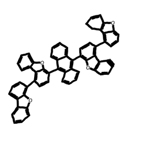 c1ccc2oc3c(-c4c5ccccc5c(-c5ccc(-c6cccc7c6oc6ccccc67)c6c5oc5ccccc56)c5ccccc45)ccc(-c4cccc5oc6c(c45)CCC=C6)c3c2c#1